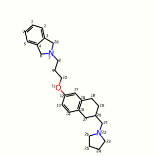 c1ccc2c(c1)CN(CCCOc1ccc3c(c1)CCC(CN1CCCC1)C3)C2